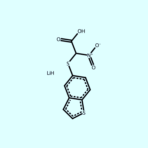 O=C(O)C(Sc1ccc2sccc2c1)[N+](=O)[O-].[LiH]